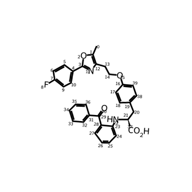 Cc1oc(-c2ccc(F)cc2)nc1CCOc1ccc(C[C@H](Nc2ccccc2C(=O)c2ccccc2)C(=O)O)cc1